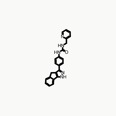 O=C(NCc1ccccn1)Nc1ccc(-c2n[nH]c3c2Cc2ccccc2-3)cc1